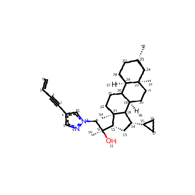 C=CC#Cc1cnn(C[C@](C)(O)[C@H]2C[C@@H](C3CC3)C3[C@@H]4CC[C@]5(C)C[C@@H](C)CC[C@@H]5C4CC[C@@]32C)c1